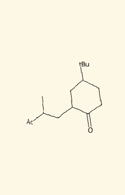 CC(=O)C(C)CC1CC(C(C)(C)C)CCC1=O